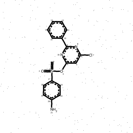 C=S(=O)(Oc1cc(Cl)nc(-c2ccccc2)n1)c1ccc(N)cc1